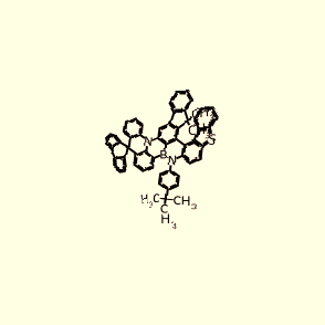 CC(C)(C)c1ccc(N2B3c4cccc5c4N(c4ccccc4C54c5ccccc5-c5ccccc54)c4cc5c(c(c43)-c3c2ccc2sc4ccccc4c32)C(C)(C)c2ccccc2-5)cc1